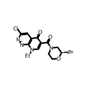 CCn1cc(C(=O)N2CCO[C@H](C(C)C)C2)c(=O)c2cc(Cl)nnc21